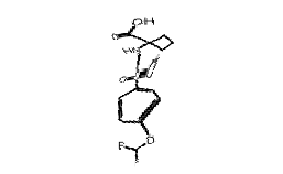 O=C(O)C1(NS(=O)(=O)c2ccc(OC(F)F)cc2)CCC1